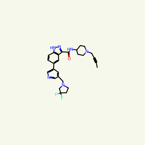 CC#CCN1CCC(NC(=O)c2n[nH]c3ccc(-c4cncc(CN5CCC(F)(F)C5)c4)cc23)CC1